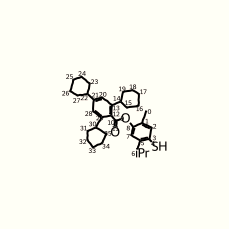 Cc1cc(S)c(C(C)C)cc1OC(=O)c1c(C2CCCCC2)cc(C2CCCCC2)cc1C1CCCCC1